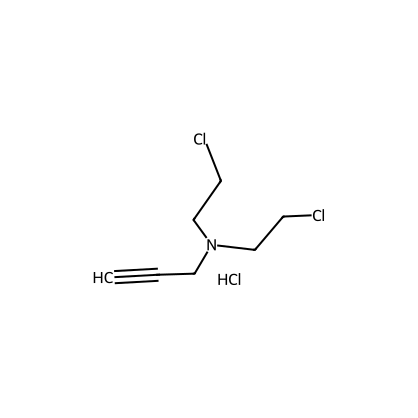 C#CCN(CCCl)CCCl.Cl